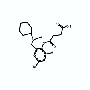 CN(Cc1cc(Br)cc(Br)c1NC(=O)CCC(=O)O)C1CCCCC1